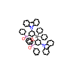 O=P(c1ccccc1)(c1ccccc1)c1cc(-n2c3ccccc3c3ccccc32)cc2c1Oc1c(cc(-n3c4ccccc4c4ccccc43)cc1P(=O)(c1ccccc1)c1ccccc1)[Si]2(c1ccccc1)c1ccccc1